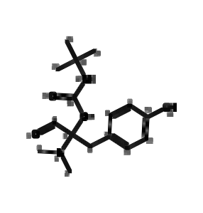 CN(C)C(C=O)(Cc1ccc(O)cc1)OC(=O)NC(C)(C)C